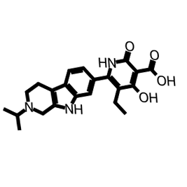 CCc1c(-c2ccc3c4c([nH]c3c2)CN(C(C)C)CC4)[nH]c(=O)c(C(=O)O)c1O